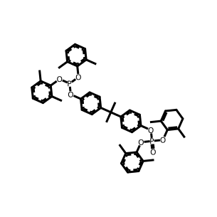 CC1=CCCC(C)=C1OP(=O)(Oc1ccc(C(C)(C)c2ccc(OP(Oc3c(C)cccc3C)Oc3c(C)cccc3C)cc2)cc1)Oc1c(C)cccc1C